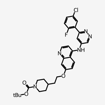 CC(C)(C)OC(=O)N1CCC(CCOc2ccc3c(Nc4cnnc(-c5cc(Cl)ccc5F)c4)ccnc3c2)CC1